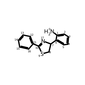 Nc1ccccc1C1CSC(c2ccccc2)=N1